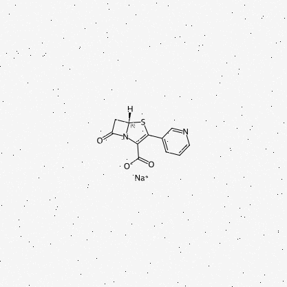 O=C([O-])C1=C(c2cccnc2)S[C@H]2CC(=O)N12.[Na+]